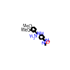 COc1ccc(C(N)Nc2ccc(-c3noc(C)n3)cc2)cc1OC